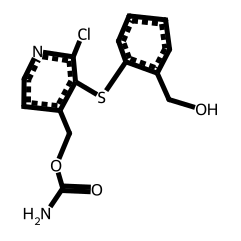 NC(=O)OCc1ccnc(Cl)c1Sc1ccccc1CO